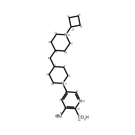 CC(C)(C)c1cc(N2CCC(CC3CCN(C4CCC4)CC3)CC2)cnc1C(=O)O